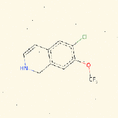 FC(F)(F)Oc1cc2c(cc1Cl)C=CNC2